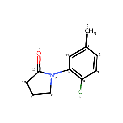 Cc1ccc(Cl)c(N2CCCC2=O)c1